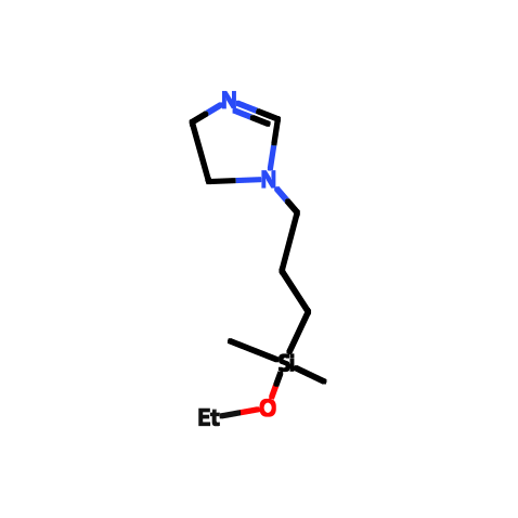 CCO[Si](C)(C)CCCN1C=NCC1